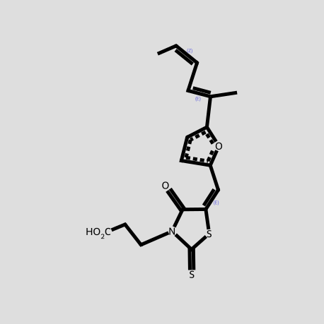 C/C=C\C=C(/C)c1ccc(/C=C2/SC(=S)N(CCC(=O)O)C2=O)o1